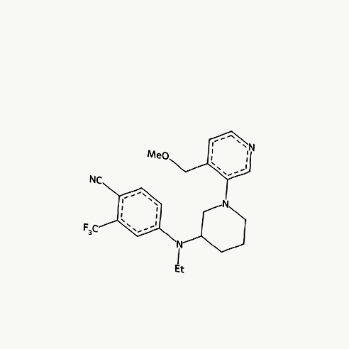 CCN(c1ccc(C#N)c(C(F)(F)F)c1)C1CCCN(c2cnccc2COC)C1